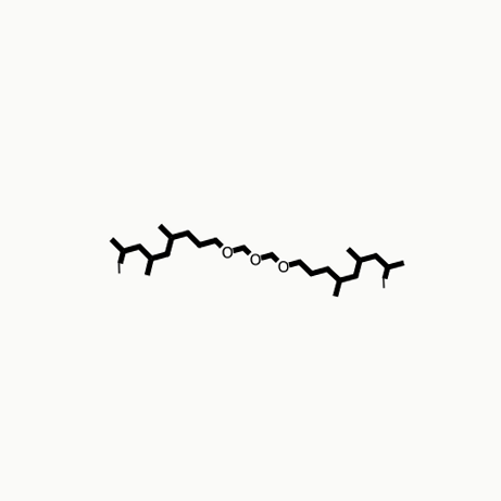 CC(I)CC(C)CC(C)CCCOCOCOCCCC(C)CC(C)CC(C)I